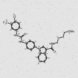 COCCOCNC(=O)c1cn(-c2ccc(NC(=O)Nc3ccc(Cl)c(C(F)(F)F)c3)cc2)c2cnccc12